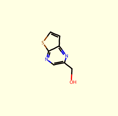 OCc1cnc2sccc2n1